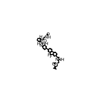 CC1(CN(C=O)Cc2nc(-c3ccc4c(c3)C(F)(F)c3cc(-c5ccc6nc([C@@H]7[C@H]8CC[C@H](C8)N7C(=O)CNC=O)[nH]c6c5)ccc3-4)c[nH]2)CC1